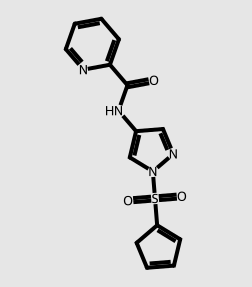 O=C(Nc1cnn(S(=O)(=O)C2=CC=CC2)c1)c1ccccn1